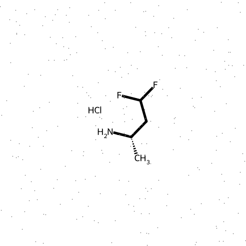 C[C@H](N)CC(F)F.Cl